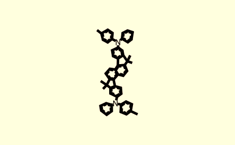 Cc1ccc(N(c2ccccc2)c2ccc3c(c2)C(C)(C)c2ccc4c5c(ccc4c2-3)C(C)(C)c2cc(N(c3ccccc3)c3ccc(C)cc3)ccc2-5)cc1